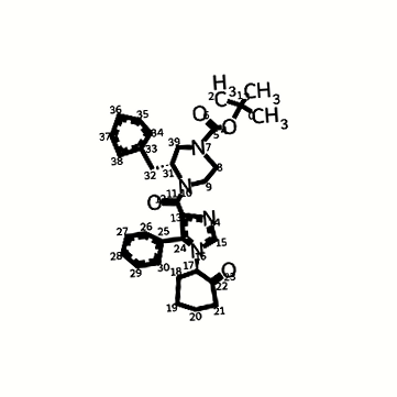 CC(C)(C)OC(=O)N1CCN(C(=O)c2ncn([C@@H]3CCCCC3=O)c2-c2ccccc2)[C@H](Cc2ccccc2)C1